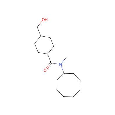 CN(C(=O)C1CCC(CO)CC1)C1CCCCCCC1